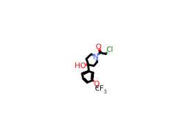 O=C(CCl)N1CCC(O)(c2cccc(OC(F)(F)F)c2)CC1